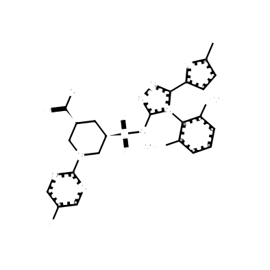 COc1cccc(OC)c1-n1c(NS(=O)(=O)[C@@H]2C[C@H](C(N)=O)CN(c3ncc(F)cn3)C2)nnc1-c1ccc(C)o1